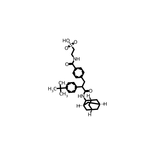 CC(C)(C)c1ccc(C(Cc2ccc(C(=O)NCCS(=O)(=O)O)cc2)C(=O)NC2[C@H]3C[C@@H]4C[C@@H](C[C@H]2C4)C3)cc1